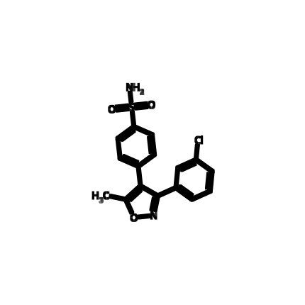 Cc1onc(-c2cccc(Cl)c2)c1-c1ccc(S(N)(=O)=O)cc1